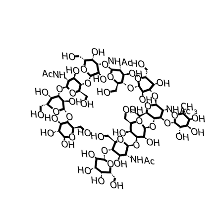 CC(=O)N[C@H]1[C@H](O[C@H]2[C@@H](O)[C@@H](CO)O[C@@H](O[C@H]3[C@H](O[C@@H]4O[C@@H](C)[C@@H](O)[C@@H](O)[C@@H]4O)[C@@H](NC(C)=O)[C@H](O[C@H]4[C@@H](O)[C@@H](CO)O[C@@H](O[C@H]5[C@H](O)[C@@H](NC(C)=O)[C@H](O[C@H]6[C@@H](O)[C@@H](CO)O[C@@H](O[C@H]7[C@H](O)[C@@H](NC(C)=O)[C@H](O[C@H]8[C@@H](O)[C@@H](CO)O[C@@H](O[C@H]9[C@H](O)[C@@H](O)[C@H](O)O[C@@H]9CO)[C@@H]8O)O[C@@H]7CO)[C@@H]6O)O[C@@H]5CO)[C@@H]4O)O[C@@H]3CO)[C@@H]2O)O[C@H](CO)[C@@H](O[C@@H]2O[C@H](CO)[C@H](O)[C@H](O)[C@H]2O)[C@@H]1O